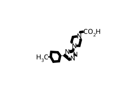 C[C@H]1CC[C@H](c2cnnc(N3CCN(CC(=O)O)CC3)n2)CC1